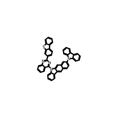 c1ccc2c(-n3c4ccccc4c4cc5ccc(-n6c7ccccc7c7ccccc76)cc5cc43)nc(-c3ccc4c(c3)sc3ccccc34)nc2c1